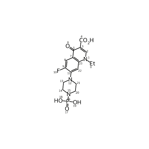 CCn1cc(C(=O)O)c(=O)c2cc(F)c(N3CCN(P(=O)(O)O)CC3)cc21